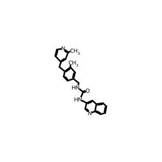 Cc1cc(Cc2ccc(CNC(=O)Nc3cnc4ccccc4c3)cc2C)ccn1